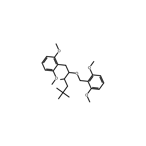 COc1cccc(OC)c1COC(Cc1c(OC)cccc1OC)C(C)CC(C)(C)C